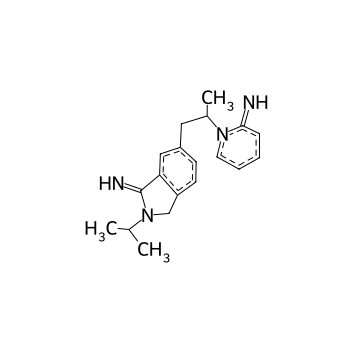 CC(C)N1Cc2ccc(CC(C)n3ccccc3=N)cc2C1=N